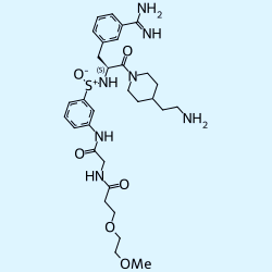 COCCOCCC(=O)NCC(=O)Nc1cccc([S+]([O-])N[C@@H](Cc2cccc(C(=N)N)c2)C(=O)N2CCC(CCN)CC2)c1